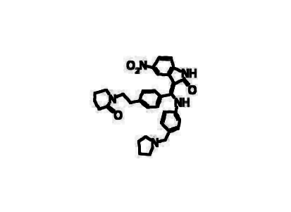 O=C1Nc2ccc([N+](=O)[O-])cc2C1=C(Nc1ccc(CN2CCCC2)cc1)c1ccc(CCN2CCCCC2=O)cc1